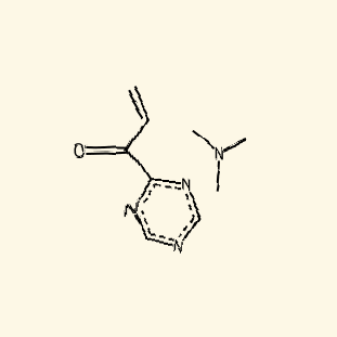 C=CC(=O)c1ncncn1.CN(C)C